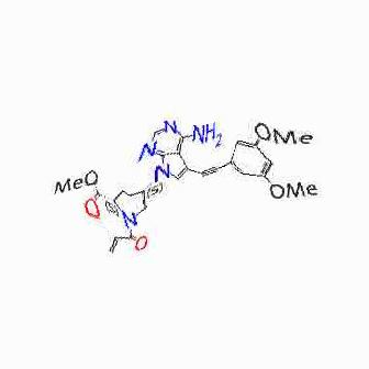 C=CC(=O)N1C[C@@H](n2cc(C#Cc3cc(OC)cc(OC)c3)c3c(N)ncnc32)C[C@H]1C(=O)OC